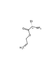 C=CCOC(=O)[C@@H](N)CC